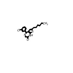 CCCCCCc1cc2c(s1)NC(=O)CN=C2c1cccc(Cl)c1